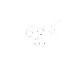 Cc1nc(NC(C)c2cccc(-c3cncc(CO)c3)c2)cc(-c2ccc3occ(C)c3c2)n1